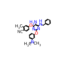 Cc1cc(Oc2nc(Oc3cccc(N(C)C)c3)nc(NCc3ccccc3)c2N)ccc1C#N